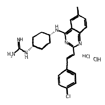 Cc1ccc2nc(C=Cc3ccc(Cl)cc3)nc(N[C@H]3CC[C@@H](NC(=N)N)CC3)c2c1.Cl.Cl